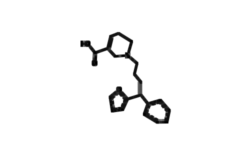 O=C(O)C1=CCCN(CCC=C(c2ccccc2)c2ccco2)C1